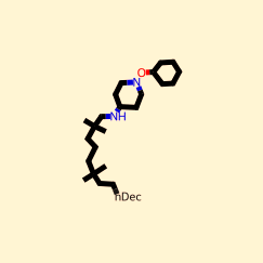 CCCCCCCCCCCCC(C)(C)CCCC(C)(C)CNC1CCN(OC2CCCCC2)CC1